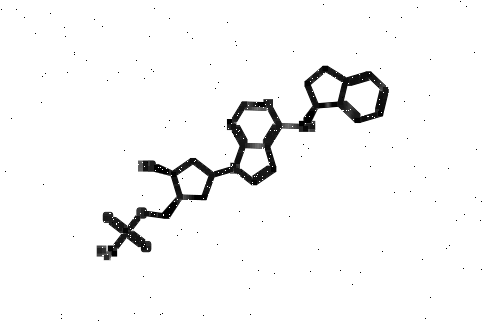 NS(=O)(=O)OC[C@@H]1CC(n2ccc3c(N[C@H]4CCc5ccccc54)ncnc32)C[C@@H]1O